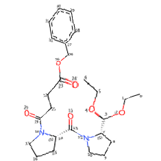 CCOC(OCC)[C@@H]1CCCN1C(=O)[C@@H]1CCCN1C(=O)CCC(=O)OCc1ccccc1